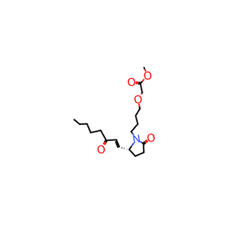 CCCCCC(=O)/C=C/[C@H]1CCC(=O)N1CCCCOCC(=O)OC